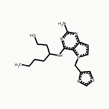 CCCCC(CCO)Nc1nc(N)nc2ccn(Cc3cscn3)c12